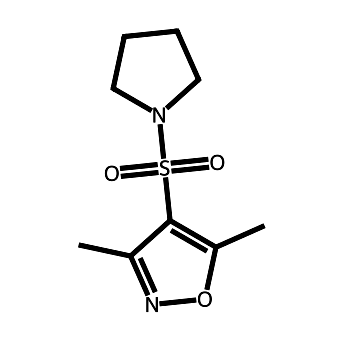 Cc1noc(C)c1S(=O)(=O)N1CCCC1